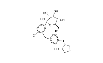 OC[C@H]1O[C@@](O)(c2ccc(Cl)c(Cc3ccc(O[C@@H]4CCC[C@@H]4O)cc3)c2)[C@H](O)[C@@H](O)[C@@H]1O